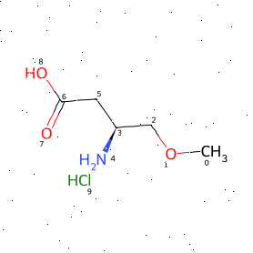 COC[C@@H](N)CC(=O)O.Cl